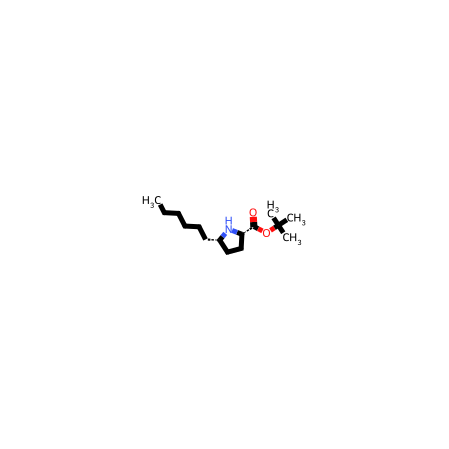 CCCCCC[C@H]1CC[C@@H](C(=O)OC(C)(C)C)N1